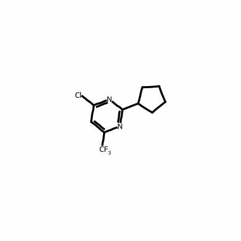 FC(F)(F)c1cc(Cl)nc(C2CCCC2)n1